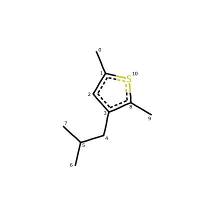 Cc1cc(CC(C)C)c(C)s1